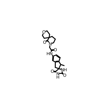 CC1c2ccc(NC(=O)CN3CCCC4(CCOCC4)C3=O)cc2CC12NC(=O)NC2=O